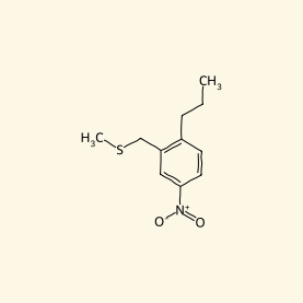 CCCc1ccc([N+](=O)[O-])cc1CSC